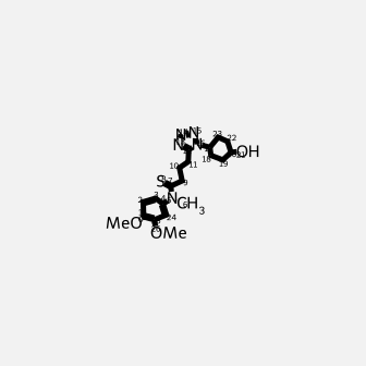 COc1ccc(N(C)C(=S)CCCc2nnnn2C2CCC(O)CC2)cc1OC